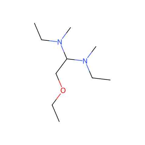 CCOCC(N(C)CC)N(C)CC